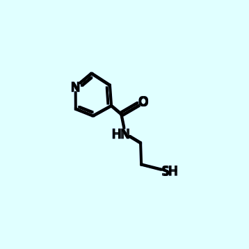 O=C(NCCS)c1ccncc1